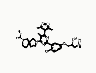 CNC[C@H](O)COc1ccc(Cl)c(-c2nc(-c3c(C)noc3C)c(C)c(N3CCC4(CCN(C(=O)OC)C4)C3)n2)c1